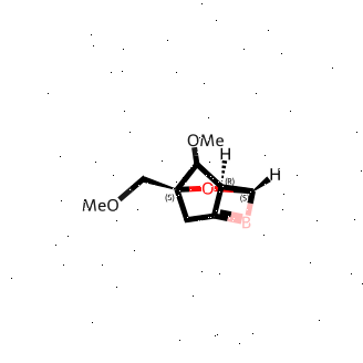 COC[C@]12CC3=B[C@H](O1)[C@@H]3C2OC